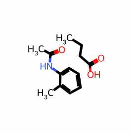 CC(=O)Nc1ccccc1C.CCCC(=O)O